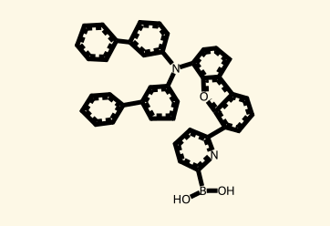 OB(O)c1cccc(-c2cccc3c2oc2c(N(c4cccc(-c5ccccc5)c4)c4cccc(-c5ccccc5)c4)cccc23)n1